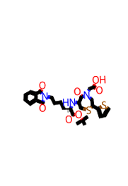 CC(C)(C)OC(=O)[C@@H](CCCCN1C(=O)c2ccccc2C1=O)NC1CSC(c2cccs2)CN(CC(=O)O)C1=O